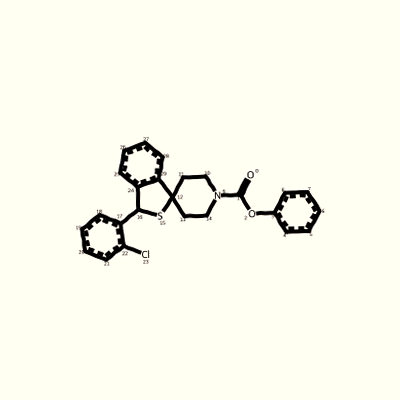 O=C(Oc1ccccc1)N1CCC2(CC1)SC(c1ccccc1Cl)c1ccccc12